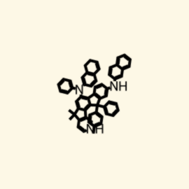 Cc1ccc(C2(c3ccccc3)c3cc(Nc4ccc5ccccc5c4)ccc3-c3c(N(c4ccccc4)c4ccc5c(c4)CCC=C5)cc4c(c32)C2=C(C=CNC2)C4(C)C)cc1